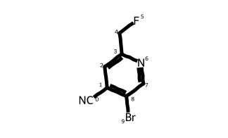 N#Cc1cc(CF)ncc1Br